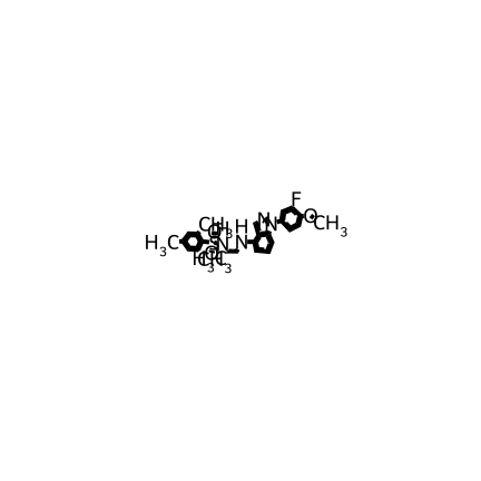 COc1ccc(-n2ncc3c(NC[C@H](C)NS(=O)(=O)c4c(C)cc(C)cc4C)cccc32)cc1F